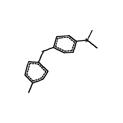 Cc1ccc([CH]c2ccc(N(C)C)cc2)cc1